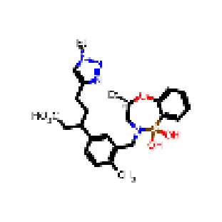 CC[C@@H]1CN(Cc2cc(C(CCc3cn(CC)nn3)CC(=O)O)ccc2C)S(O)(O)c2ccccc2O1